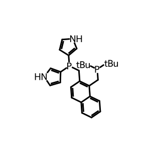 CC(C)(C)P(Cc1c(CP(c2cc[nH]c2)c2cc[nH]c2)ccc2ccccc12)C(C)(C)C